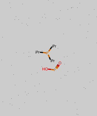 CC(C)P(C(C)C)C(C)C.O=PO